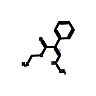 CCOC(=O)/C(=C\NC)c1ccccc1